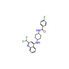 O=C(NC1CCC(Nc2cc(C(F)F)nc3ccccc23)CC1)c1ccc(F)cc1